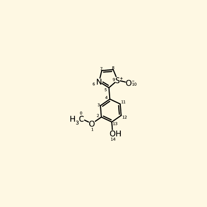 COc1cc(-c2ncc[s+]2[O-])ccc1O